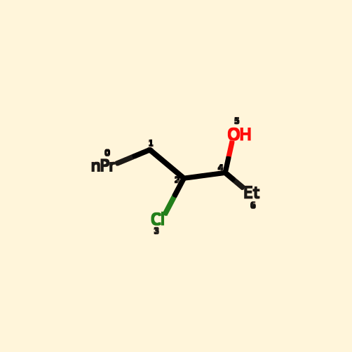 CCCCC(Cl)C(O)CC